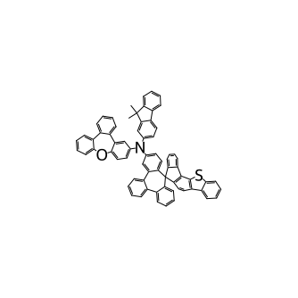 CC1(C)c2ccccc2-c2ccc(N(c3ccc4c(c3)-c3ccccc3-c3ccccc3O4)c3ccc4c(c3)-c3ccccc3-c3ccccc3C43c4ccccc4-c4c3ccc3c4sc4ccccc43)cc21